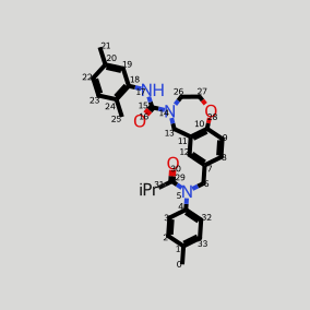 Cc1ccc(N(Cc2ccc3c(c2)CN(C(=O)Nc2cc(C)ccc2C)CCO3)C(=O)C(C)C)cc1